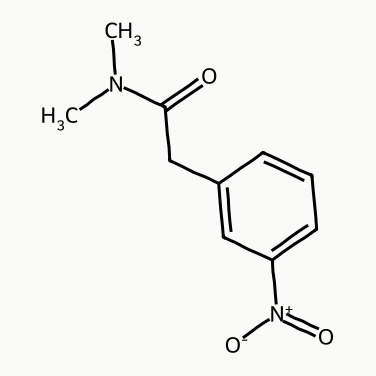 CN(C)C(=O)Cc1cccc([N+](=O)[O-])c1